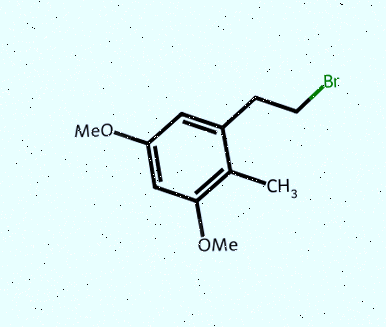 COc1cc(CCBr)c(C)c(OC)c1